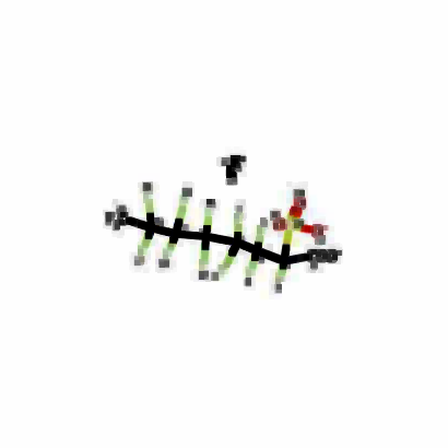 O=C([O-])C(F)(C(F)(F)C(F)(F)C(F)(F)C(F)(F)C(F)(F)C(F)(F)F)S(=O)(=O)[O-].[K+].[K+]